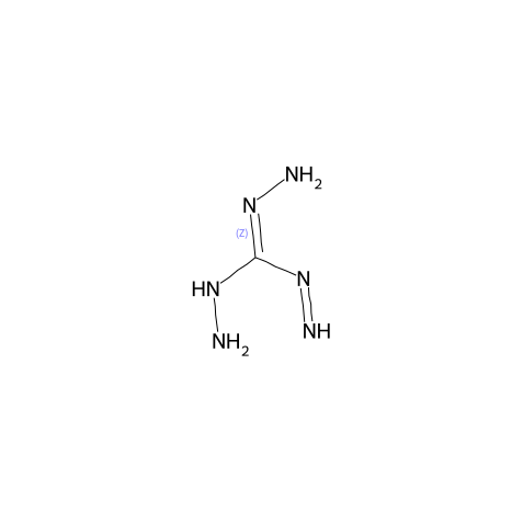 N=N/C(=N\N)NN